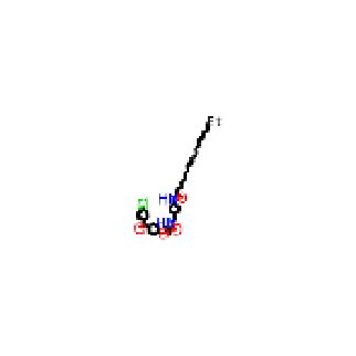 CCC=CCC=CCC=CCC=CCC=CCCCC(=O)NC1CCC(CNC(=O)C(C)(C)Oc2ccc(C(=O)c3ccc(Cl)cc3)cc2)CC1